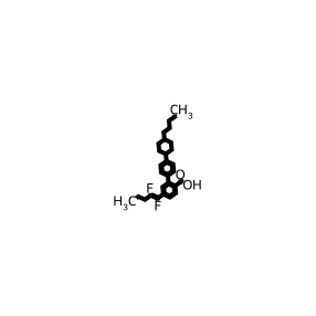 CCCCCC1CCC(c2ccc(-c3cc(C(F)=C(F)CCC)ccc3C(=O)O)cc2)CC1